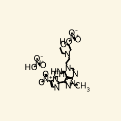 Cn1c([N+](=O)[O-])cnc1-c1nn(C)c2ncn(CCN3CCOCC3)c(=N)c12.O=[N+]([O-])O.O=[N+]([O-])O